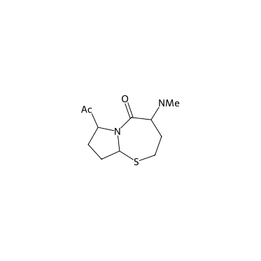 CNC1CCSC2CCC(C(C)=O)N2C1=O